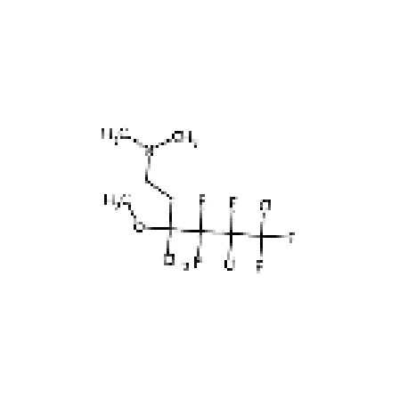 COC(C)(CCN(C)C)C(F)(F)C(F)(Cl)C(F)(F)Cl